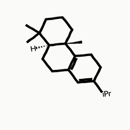 CC(C)C1=CC2=C(CC1)[C@@]1(C)CCCC(C)(C)[C@@H]1CC2